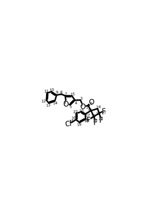 O=C(OCc1coc(Cc2ccccc2)c1)C1(c2ccc(Cl)cc2)CC(F)(F)C1(F)F